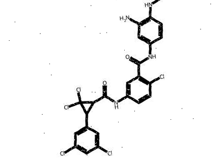 CNc1ccc(NC(=O)c2cc(NC(=O)C3C(c4cc(Cl)cc(Cl)c4)C3(Cl)Cl)ccc2Cl)cc1N